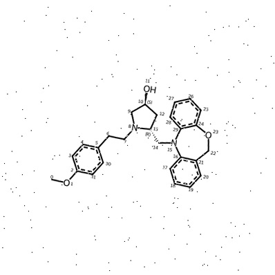 COc1ccc(CCN2C[C@@H](O)C[C@@H]2CN2c3ccccc3COc3ccccc32)cc1